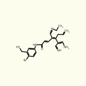 C=CCC(/C(C=N)=C/N)=C(\C=N/CC)/C=C/C(=O)Nc1ccc(Br)c(CS)c1